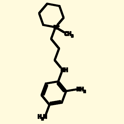 C[N+]1(CCCNc2ccc(N)cc2N)CCCCC1